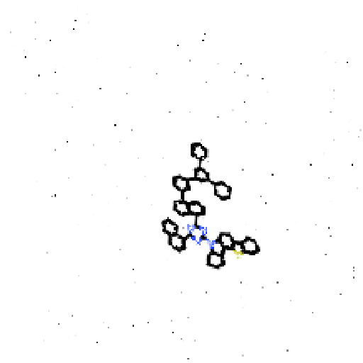 c1ccc(-c2cc(-c3ccccc3)cc(-c3cccc(-c4cccc5c(-c6nc(-c7cccc8ccccc78)nc(-n7c8ccccc8c8c9sc%10ccccc%10c9ccc87)n6)cccc45)c3)c2)cc1